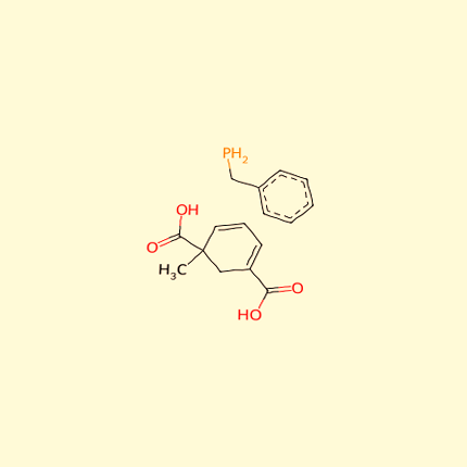 CC1(C(=O)O)C=CC=C(C(=O)O)C1.PCc1ccccc1